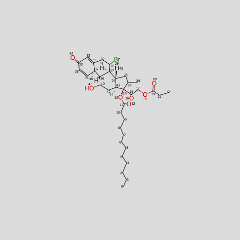 CCCCCCCCCCCC(=O)O[C@]1(C(=O)COC(=O)CC)C(C)C[C@H]2[C@@H]3C(Br)CC4=CC(=O)C=C[C@]4(C)[C@H]3C(O)C[C@@]21C